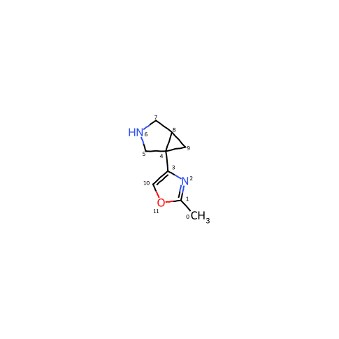 Cc1nc(C23CNCC2C3)co1